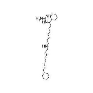 N=C(N)NC(CCCCCCCNCCCCCCCCC1CCCCC1)C1CCCCC1